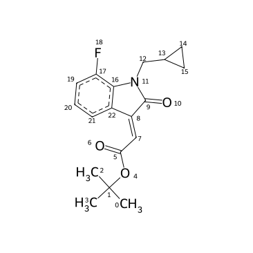 CC(C)(C)OC(=O)/C=C1/C(=O)N(CC2CC2)c2c(F)cccc21